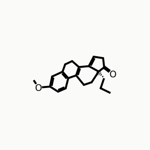 CCC[C@]12CCC3=C(CCc4cc(OC)ccc43)C1=CCC2=O